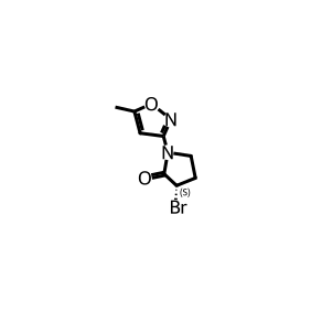 Cc1cc(N2CC[C@H](Br)C2=O)no1